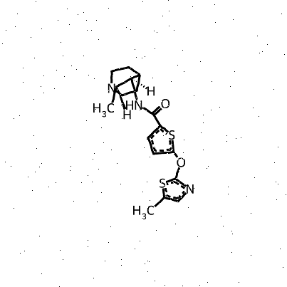 Cc1cnc(Oc2ccc(C(=O)N[C@@H]3C4CCN(CC4)[C@H]3C)s2)s1